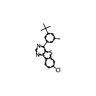 Cc1cc(-c2ncnc3c2sc2cc(Cl)ccc23)cc(C(C)(C)C)c1